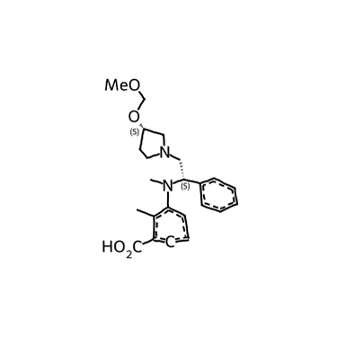 COCO[C@H]1CCN(C[C@H](c2ccccc2)N(C)c2cccc(C(=O)O)c2C)C1